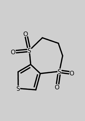 O=S1(=O)CCCS(=O)(=O)c2cscc21